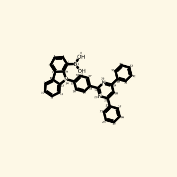 OB(O)c1cccc2c3ccccc3n(-c3ccc(-c4nc(-c5ccccc5)cc(-c5ccccc5)n4)cc3)c12